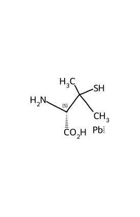 CC(C)(S)[C@@H](N)C(=O)O.[Pb]